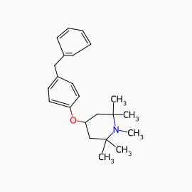 CN1C(C)(C)CC(Oc2ccc(Cc3ccccc3)cc2)CC1(C)C